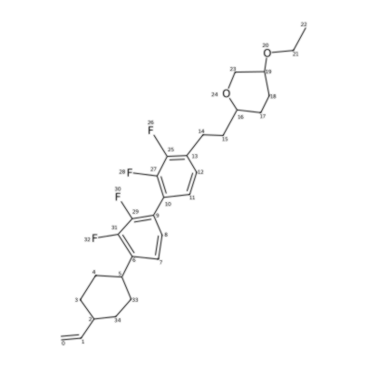 C=CC1CCC(c2ccc(-c3ccc(CCC4CCC(OCC)CO4)c(F)c3F)c(F)c2F)CC1